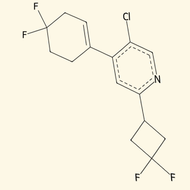 FC1(F)CC=C(c2cc(C3CC(F)(F)C3)ncc2Cl)CC1